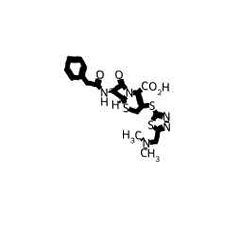 CN(C)Cc1nnc(SC2=C(C(=O)O)N3C(=O)[C@@H](NC(=O)Cc4ccccc4)[C@@H]3SC2)s1